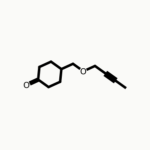 CC#CCOCC1CCC(=O)CC1